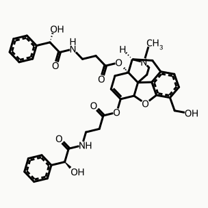 CN1CCC23c4c5ccc(CO)c4OC2C(OC(=O)CCNC(=O)[C@@H](O)c2ccccc2)=CC[C@@]3(OC(=O)CCNC(=O)[C@@H](O)c2ccccc2)[C@H]1C5